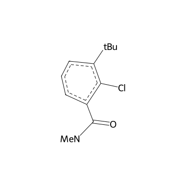 CNC(=O)c1cccc(C(C)(C)C)c1Cl